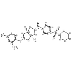 Cc1cc(Br)cnc1CN1C[C@H]2C[C@H](Nc3ccc(S(=O)(=O)C4CCCCC4)nn3)C[C@H]2C1